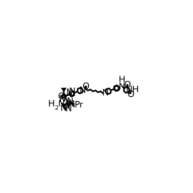 CC(C)n1nc(-c2noc(C3CC3)c2-c2ccc(C3CCN(C(=O)CCCCCCCN4CCC(c5ccc(NC6CCC(=O)NC6=O)cc5)CC4)CC3)nn2)c2c(N)ncnc21